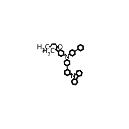 C=C/C=C\c1oc2cc(N(c3ccc(-c4ccccc4)cc3)c3ccc(-c4cccc(-n5c6ccccc6c6ccccc65)c4)cc3)ccc2c1C